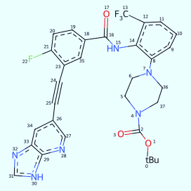 CC(C)(C)OC(=O)N1CCN(c2cccc(C(F)(F)F)c2NC(=O)c2ccc(F)c(C#Cc3cnc4[nH]cnc4c3)c2)CC1